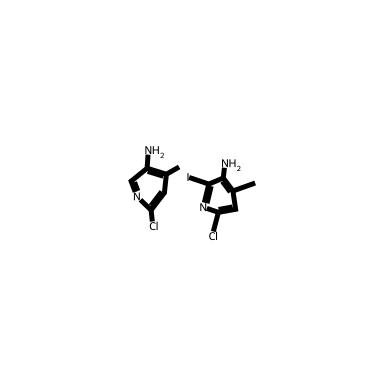 Cc1cc(Cl)nc(I)c1N.Cc1cc(Cl)ncc1N